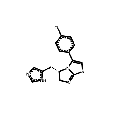 Clc1ccc(C2=CSC3=NC[C@H](Cc4cnc[nH]4)N23)cc1